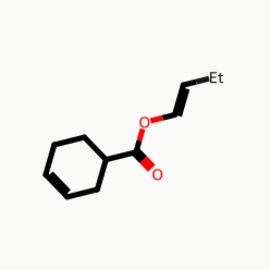 CCC=COC(=O)C1CC=CCC1